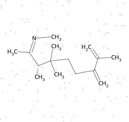 C=C(C)C(=C)CCC(C)(C)[C@H](C)/C(C)=N\C